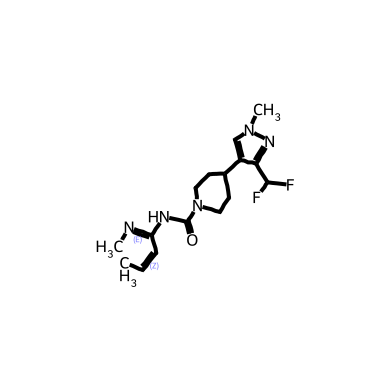 C/C=C\C(=N/C)NC(=O)N1CCC(c2cn(C)nc2C(F)F)CC1